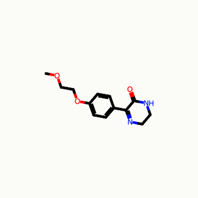 COCCOc1ccc(C2=NCCNC2=O)cc1